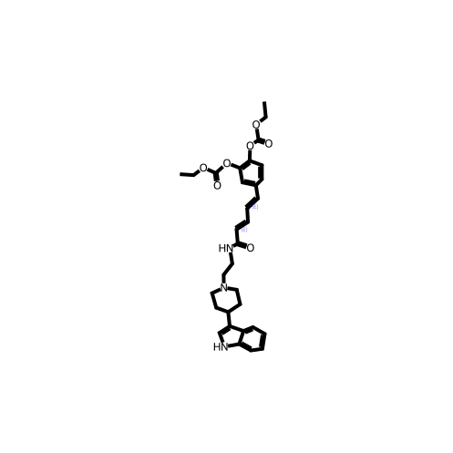 CCOC(=O)Oc1ccc(/C=C/C=C/C(=O)NCCN2CCC(c3c[nH]c4ccccc34)CC2)cc1OC(=O)OCC